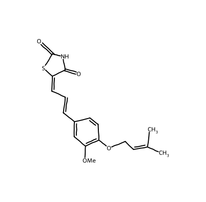 COc1cc(C=CC=C2SC(=O)NC2=O)ccc1OCC=C(C)C